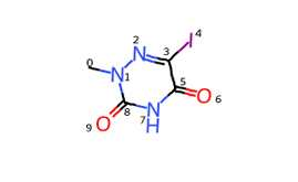 Cn1nc(I)c(=O)[nH]c1=O